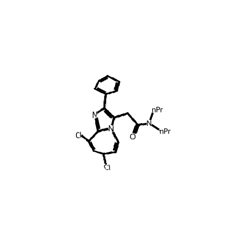 CCCN(CCC)C(=O)Cc1c(-c2ccccc2)nc2n1C=CC(Cl)C=C2Cl